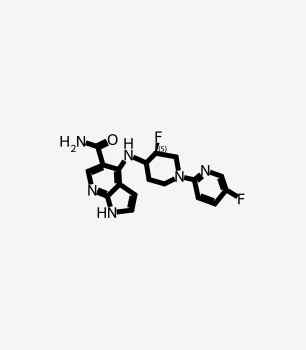 NC(=O)c1cnc2[nH]ccc2c1NC1CCN(c2ccc(F)cn2)C[C@@H]1F